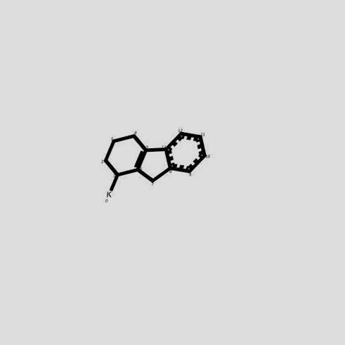 [K][CH]1CCCC2=C1Cc1ccccc12